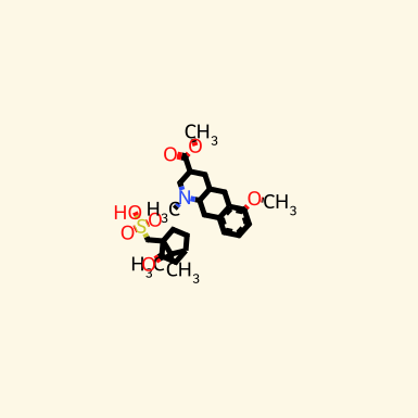 CC1(C)C2CCC1(CS(=O)(=O)O)C(=O)C2.COC(=O)C1CC2Cc3c(cccc3OC)CC2N(C)C1